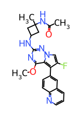 COc1nc(NC2CC(C)(NC(C)=O)C2)nn2cc(F)c(-c3ccc4ncccc4c3)c12